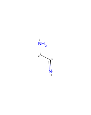 [N]=CCN